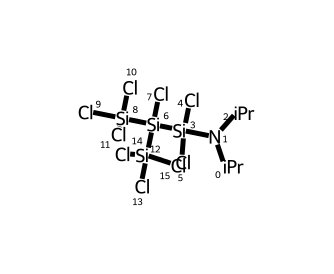 CC(C)N(C(C)C)[Si](Cl)(Cl)[Si](Cl)([Si](Cl)(Cl)Cl)[Si](Cl)(Cl)Cl